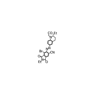 CCOC(=O)CN1CCCc2cc(/N=N/c3c(C#N)cc4c(c3Br)C(=O)N(CC)C4=O)ccc21